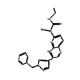 CCNC(=O)N(S)c1ccc2ncc(-c3cnn(Cc4ccccc4)c3)nc2n1